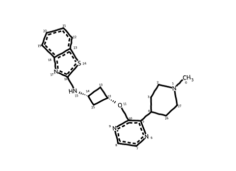 CN1CCC(c2nccnc2O[C@H]2C[C@@H](Nc3nc4ccccc4s3)C2)CC1